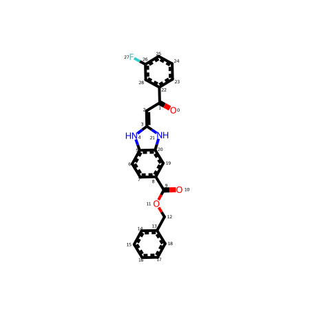 O=C(/C=C1/Nc2ccc(C(=O)OCc3ccccc3)cc2N1)c1cccc(F)c1